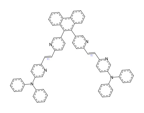 C(=C\c1ccc(N(c2ccccc2)c2ccccc2)cn1)/c1ccc(-c2c(-c3ccc(/C=C/c4ccc(N(c5ccccc5)c5ccccc5)cn4)nc3)c3ccccc3c3ccccc23)cn1